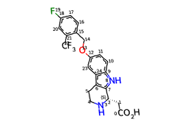 O=C(O)C[C@@H]1NCCc2c1[nH]c1ccc(OCc3ccc(F)cc3C(F)(F)F)cc21